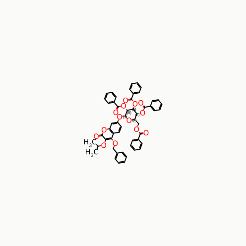 CC(C)Oc1c(OCc2ccccc2)c2ccc(O[C@@H]3O[C@H](COC(=O)c4ccccc4)[C@@H](OC(=O)c4ccccc4)[C@H](OC(=O)c4ccccc4)[C@H]3OC(=O)c3ccccc3)cc2oc1=O